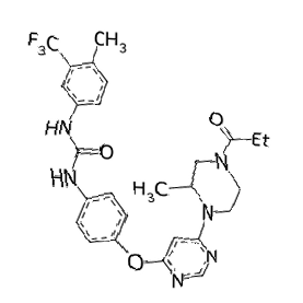 CCC(=O)N1CCN(c2cc(Oc3ccc(NC(=O)Nc4ccc(C)c(C(F)(F)F)c4)cc3)ncn2)C(C)C1